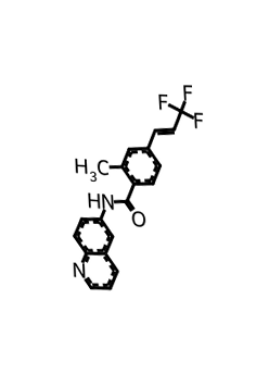 Cc1cc(/C=C/C(F)(F)F)ccc1C(=O)Nc1ccc2ncccc2c1